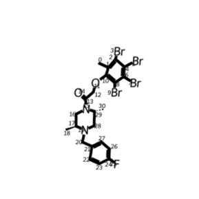 Cc1c(Br)c(Br)c(Br)c(Br)c1OCC(=O)N1C[C@H](C)N(Cc2ccc(F)cc2)C[C@H]1C